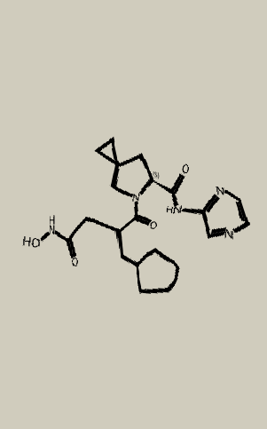 O=C(CC(CC1CCCC1)C(=O)N1CC2(CC2)C[C@H]1C(=O)Nc1cnccn1)NO